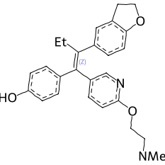 CC/C(=C(\c1ccc(O)cc1)c1ccc(OCCNC)nc1)c1ccc2c(c1)CCO2